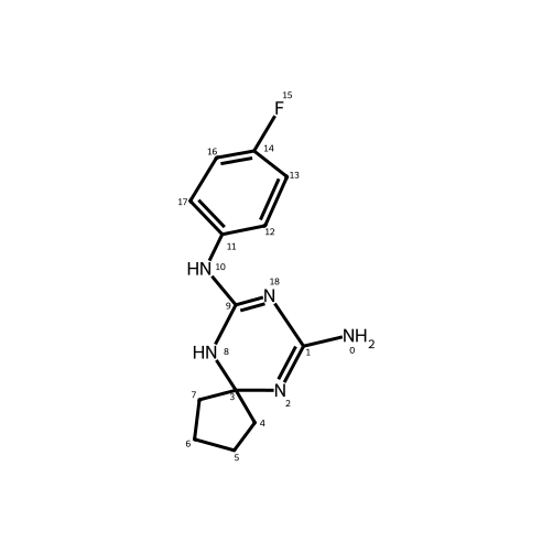 NC1=NC2(CCCC2)NC(Nc2ccc(F)cc2)=N1